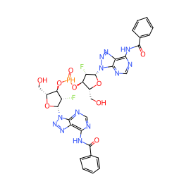 O=C(Nc1ncnc2c1nnn2[C@@H]1O[C@H](CO)[C@@H](O[PH](=O)O[C@H]2[C@H](F)[C@H](n3nnc4c(NC(=O)c5ccccc5)ncnc43)O[C@@H]2CO)[C@@H]1F)c1ccccc1